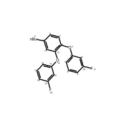 CCCCc1ccc(Oc2cccc(F)c2)c(Oc2cccc(F)c2)c1